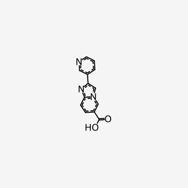 O=C(O)c1ccc2nc(-c3cccnc3)cn2c1